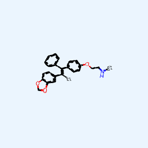 CCNCCOc1ccc(C(=C(CC)c2ccc3c(c2)OCO3)c2ccccc2)cc1